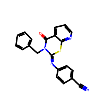 N#Cc1ccc(/N=c2\sc3ncccc3c(=O)n2Cc2ccccc2)cc1